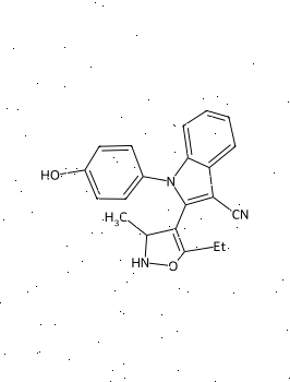 CCC1=C(c2c(C#N)c3ccccc3n2-c2ccc(O)cc2)C(C)NO1